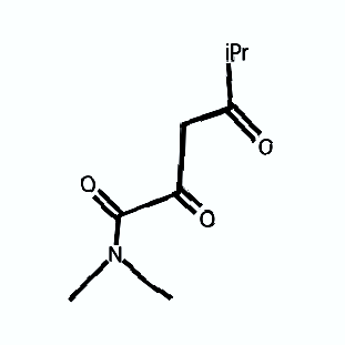 CC(C)C(=O)CC(=O)C(=O)N(C)C